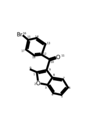 Cc1oc2ccccc2c1C(=O)c1ccc(Br)cc1